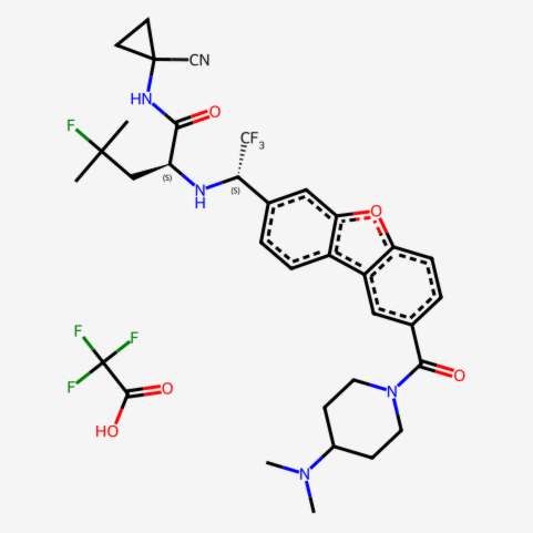 CN(C)C1CCN(C(=O)c2ccc3oc4cc([C@H](N[C@@H](CC(C)(C)F)C(=O)NC5(C#N)CC5)C(F)(F)F)ccc4c3c2)CC1.O=C(O)C(F)(F)F